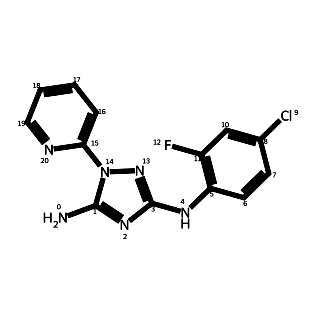 Nc1nc(Nc2ccc(Cl)cc2F)nn1-c1ccccn1